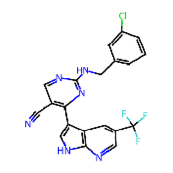 N#Cc1cnc(NCc2cccc(Cl)c2)nc1-c1c[nH]c2ncc(C(F)(F)F)cc12